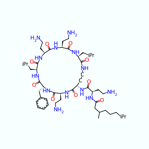 CC(C)CCCC(C)CC(=O)N[C@H](CCN)C(=O)N[C@H]1CCNC(=O)[C@H](CC(C)C)NC(=O)[C@H](CCN)NC(=O)[C@H](CCN)NC(=O)[C@H](CC(C)C)NC(=O)[C@@H](Cc2ccccc2)NC(=O)[C@H](CCN)NC1=O